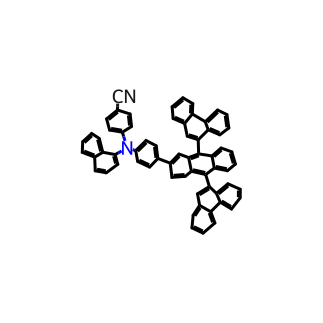 N#Cc1ccc(N(c2ccc(-c3ccc4c(-c5cc6ccccc6c6ccccc56)c5ccccc5c(-c5cc6ccccc6c6ccccc56)c4c3)cc2)c2cccc3ccccc23)cc1